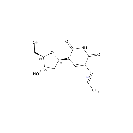 C/C=C/c1cn([C@H]2C[C@H](O)[C@@H](CO)O2)c(=O)[nH]c1=O